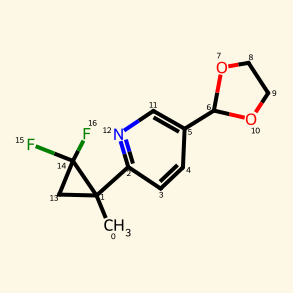 CC1(c2ccc(C3OCCO3)cn2)CC1(F)F